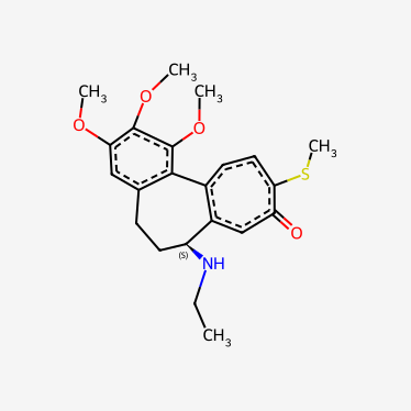 CCN[C@H]1CCc2cc(OC)c(OC)c(OC)c2-c2ccc(SC)c(=O)cc21